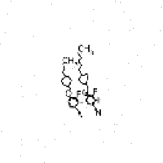 CCCCC1CCC(COc2ccc(C#N)c(F)c2F)CC1.CCCCCCC1CCC(COc2ccc(C#N)c(F)c2F)CC1